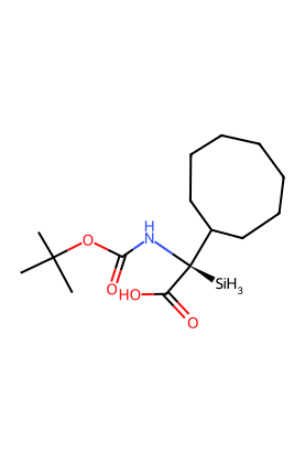 CC(C)(C)OC(=O)N[C@@]([SiH3])(C(=O)O)C1CCCCCCC1